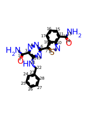 NC(=O)c1nnc(-c2snc3c(C(N)=O)cccc23)nc1NCc1ccccc1